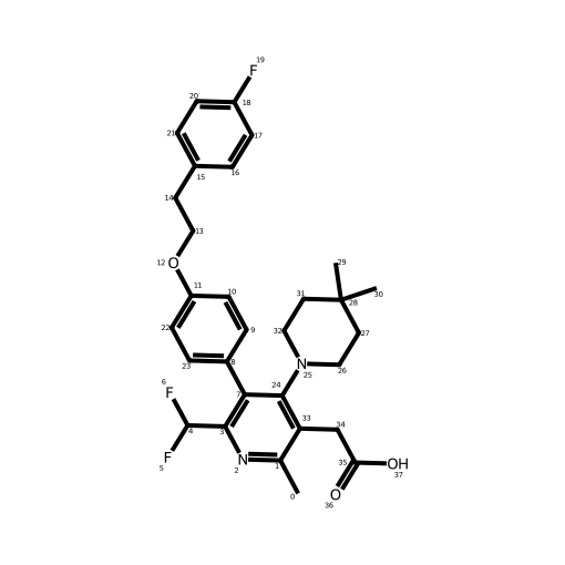 Cc1nc(C(F)F)c(-c2ccc(OCCc3ccc(F)cc3)cc2)c(N2CCC(C)(C)CC2)c1CC(=O)O